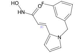 O=C(/C=C/c1cccn1Cc1cccc(F)c1)NO